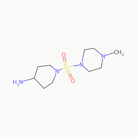 CN1CCN(S(=O)(=O)N2CCC(N)CC2)CC1